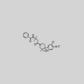 [C-]#[N+]c1ccc(C2(O)CCN(C(=O)CC(C)(C)NC(=O)c3ccccc3)CC2(C)C)cc1Cl